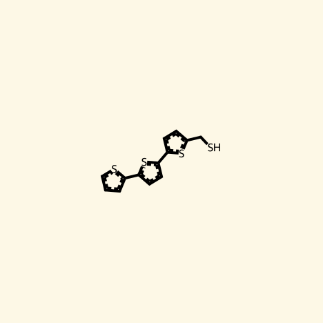 SCc1ccc(-c2ccc(-c3cccs3)s2)s1